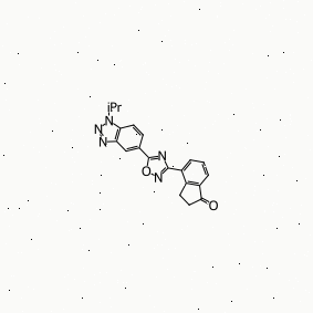 CC(C)n1nnc2cc(-c3nc(-c4cccc5c4CCC5=O)no3)ccc21